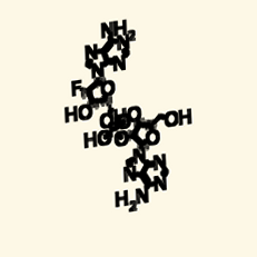 Nc1ncnc2c1ncn2[C@@H]1O[C@H](COP(=O)(O)O[C@H]2[C@@H](O)[C@@H](CO)O[C@H]2n2cnc3c(N)ncnc32)[C@H](O)[C@@H]1F